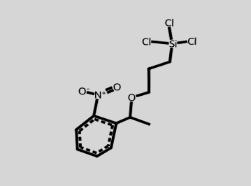 CC(OCCC[Si](Cl)(Cl)Cl)c1ccccc1[N+](=O)[O-]